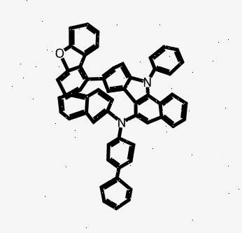 c1ccc(-c2ccc(N(c3ccc4ccccc4c3)c3cc4ccccc4c4c3c3cc(-c5cccc6oc7ccccc7c56)ccc3n4-c3ccccc3)cc2)cc1